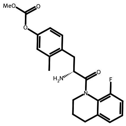 COC(=O)Oc1ccc(C[C@@H](N)C(=O)N2CCCc3cccc(F)c32)c(C)c1